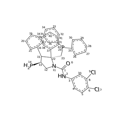 O=C(Nc1ccc(Cl)c(Cl)c1)N1C[C@@H](P)C(c2ccccc2)[C@@]1(CP(c1ccccc1)c1ccccc1)c1ccccc1